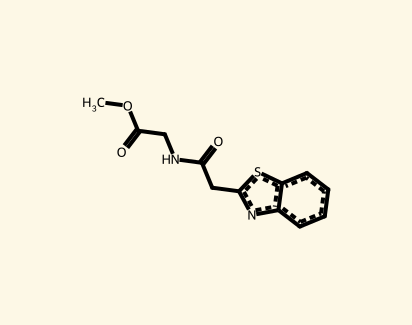 COC(=O)CNC(=O)Cc1nc2ccccc2s1